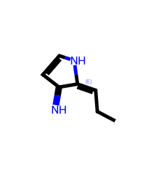 CC/C=C1/NC=CC1=N